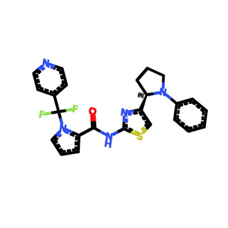 O=C(Nc1nc([C@H]2CCCN2c2ccccc2)cs1)c1cccn1C(F)(F)c1ccncc1